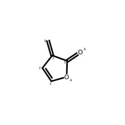 C=C1[C]=COC1=O